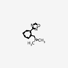 CN(C)Cc1ccccc1-c1n[c]on1